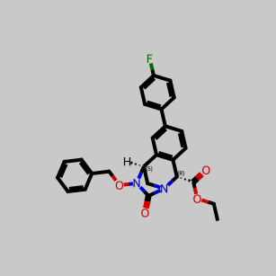 CCOC(=O)[C@H]1c2ccc(-c3ccc(F)cc3)cc2[C@H]2CN1C(=O)N2OCc1ccccc1